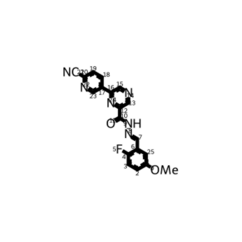 COc1ccc(F)c(/C=N/NC(=O)c2cncc(-c3ccc(C#N)nc3)n2)c1